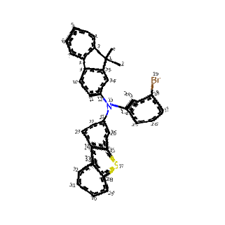 CC1(C)c2ccccc2-c2ccc(N(c3cccc(Br)c3)c3ccc4c(c3)sc3ccccc34)cc21